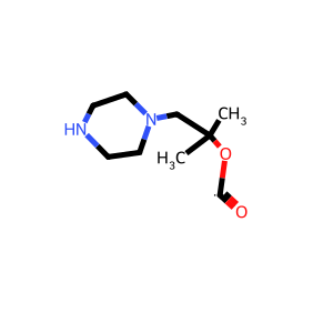 CC(C)(CN1CCNCC1)O[C]=O